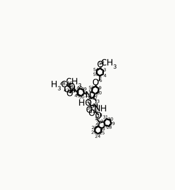 COc1ccc(COc2ccc3c(C[C@H](NC(=O)OCC4c5ccccc5-c5ccccc54)C(=O)O)cn(-c4ccc(C(=O)OC(C)(C)C)cc4)c3c2)cc1